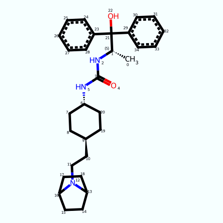 C[C@H](NC(=O)N[C@H]1CC[C@H](CCN2C3CCC2CC3)CC1)C(O)(c1ccccc1)c1ccccc1